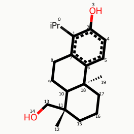 CC(C)c1c(O)ccc2c1CCC1[C@@](C)(CO)CCC[C@]21C